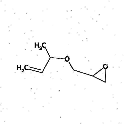 C=CC(C)OCC1CO1